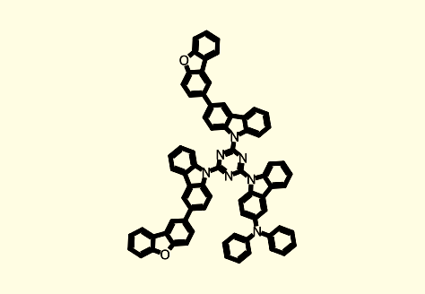 c1ccc(N(c2ccccc2)c2ccc3c(c2)c2ccccc2n3-c2nc(-n3c4ccccc4c4cc(-c5ccc6oc7ccccc7c6c5)ccc43)nc(-n3c4ccccc4c4cc(-c5ccc6oc7ccccc7c6c5)ccc43)n2)cc1